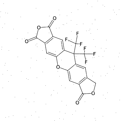 O=C1OCc2cc3c(cc21)Oc1cc2c(cc1C3(C(F)(F)F)C(F)(F)F)C(=O)OC2=O